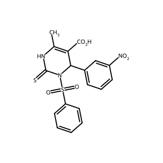 CC1=C(C(=O)O)C(c2cccc([N+](=O)[O-])c2)N(S(=O)(=O)c2ccccc2)C(=S)N1